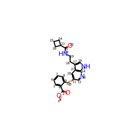 COC(=O)c1ccccc1Sc1cnc2[nH]cc(CCNC(=O)C3CCC3)c2c1